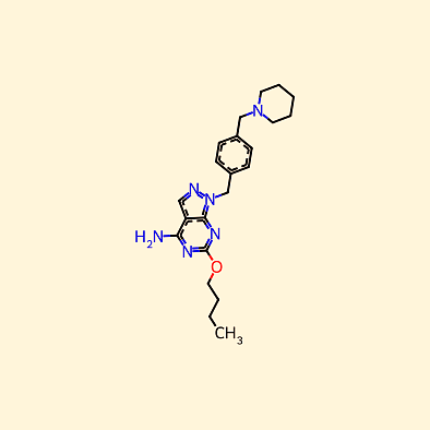 CCCCOc1nc(N)c2cnn(Cc3ccc(CN4CCCCC4)cc3)c2n1